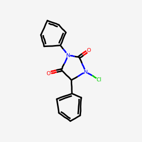 O=C1C(c2ccccc2)N(Cl)C(=O)N1c1ccccc1